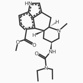 CCN(CC)C(=O)N[C@H]1C[C@@H]2c3c(C(=O)OC)ccc4[nH]cc(c34)C[C@H]2N(C)C1